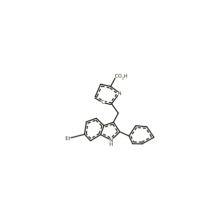 CCc1ccc2c(Cc3cccc(C(=O)O)n3)c(-c3ccccc3)[nH]c2c1